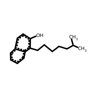 CC(C)CCCCCc1c(O)ccc2ccccc12